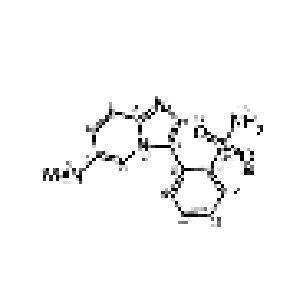 CNc1ccc2ncc(-c3ccccc3S(N)(=O)=O)n2c1